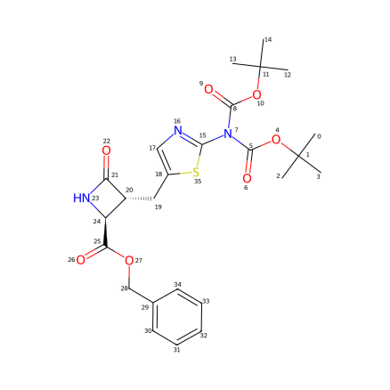 CC(C)(C)OC(=O)N(C(=O)OC(C)(C)C)c1ncc(C[C@H]2C(=O)N[C@@H]2C(=O)OCc2ccccc2)s1